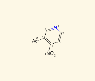 CC(=O)c1cnccc1[N+](=O)[O-]